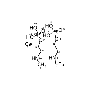 CNCCOP(=O)(O)O.CNCCOP(=O)(O)O.[Ca]